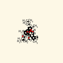 COc1cc2c(cc1OC(=O)OC(C)(C)C)CCN[C@]21CS[C@@H]2c3c(OC(C)=O)c(C)c4c(c3[C@H](COC1=O)N1C2[C@H]2c3c(cc(C)c(OC)c3OC(=O)OC(C)(C)C)C[C@@H]([C@@H]1C#N)N2C)OCO4